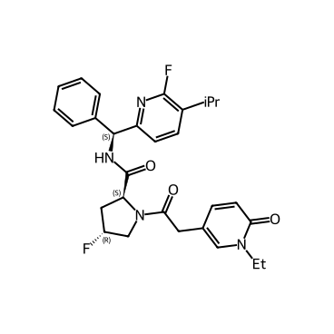 CCn1cc(CC(=O)N2C[C@H](F)C[C@H]2C(=O)N[C@@H](c2ccccc2)c2ccc(C(C)C)c(F)n2)ccc1=O